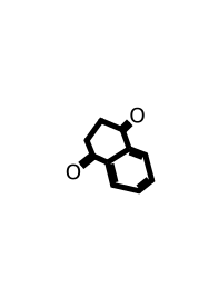 O=C1CCC(=O)c2ccccc21